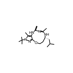 C=C1/N=C(\C)N[C@H](CC(C)C)CCOc2nn(C(C)(C)C)c(C)c2N1